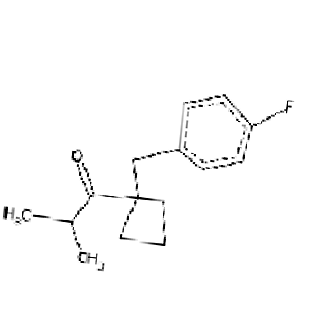 CC(C)C(=O)C1(Cc2ccc(F)cc2)CCC1